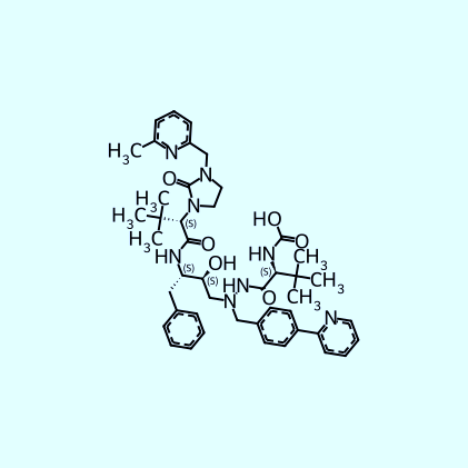 Cc1cccc(CN2CCN([C@H](C(=O)N[C@@H](Cc3ccccc3)[C@@H](O)CN(Cc3ccc(-c4ccccn4)cc3)NC(=O)[C@@H](NC(=O)O)C(C)(C)C)C(C)(C)C)C2=O)n1